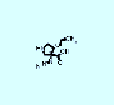 C=CC[C@H]1CNC[C@@]1(N=[N+]=[N-])C(=O)O